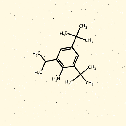 CC(C)c1cc(C(C)(C)C)cc(C(C)(C)C)c1N